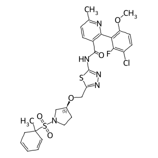 COc1ccc(Cl)c(F)c1-c1nc(C)ccc1C(=O)Nc1nnc(CO[C@H]2CCN(S(=O)(=O)C3(C)C=CC=CC3)C2)s1